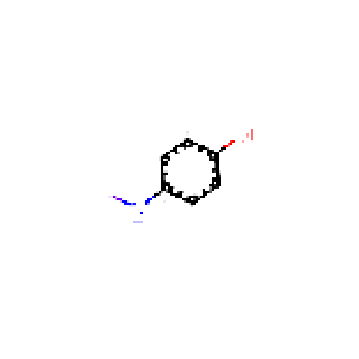 Oc1ccc(NI)cc1